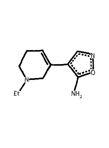 CCN1CCC=C(c2cnoc2N)C1